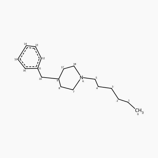 CCCCCCN1CCC(Cc2ccccc2)CC1